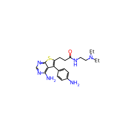 CCN(CC)CCNC(=O)CCc1sc2ncnc(N)c2c1-c1ccc(N)cc1